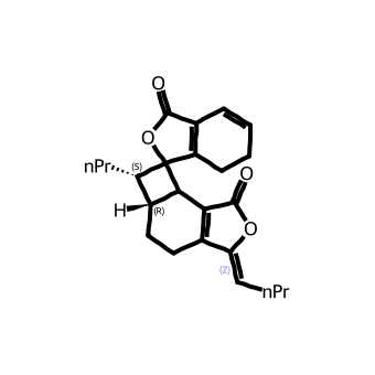 CCC/C=C1\OC(=O)C2=C1CC[C@H]1C2C2(OC(=O)C3=C2CCC=C3)[C@H]1CCC